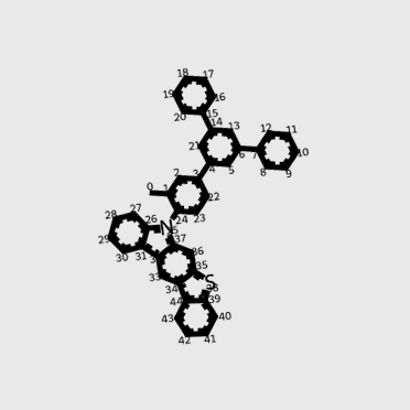 Cc1cc(-c2cc(-c3ccccc3)cc(-c3ccccc3)c2)ccc1-n1c2ccccc2c2cc3c(cc21)sc1ccccc13